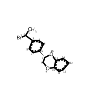 CC(Br)c1ccc([C@H]2COc3ccccc3O2)cc1